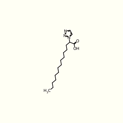 CCCCCCCCCCCCCC(C(=O)O)n1ccnn1